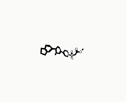 COC(=O)CS(=O)(=O)N1CC=C(c2ccc(-c3ccc4c(c3)CCC4)c(C)c2)CC1